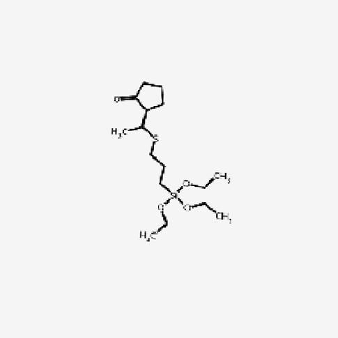 CCO[Si](CCCSC(C)C1CCCC1=O)(OCC)OCC